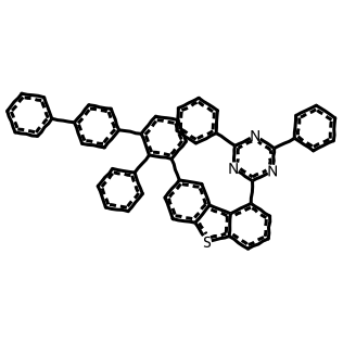 c1ccc(-c2ccc(-c3cccc(-c4ccc5sc6cccc(-c7nc(-c8ccccc8)nc(-c8ccccc8)n7)c6c5c4)c3-c3ccccc3)cc2)cc1